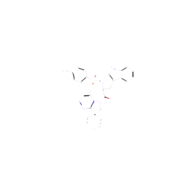 CC(C)(C)c1ccc(S(=O)(=O)N[C@@](C)(Cc2c[nH]c3ccccc23)C(=O)NCC2(c3ccccn3)CCCCC2)cc1